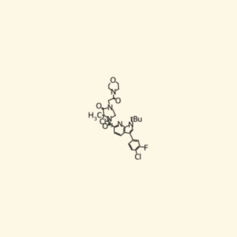 CC1(C)C(=O)N(CC(=O)N2CCOCC2)CCN1C(=O)c1ccc2c(-c3ccc(Cl)c(F)c3)cn(C(C)(C)C)c2n1